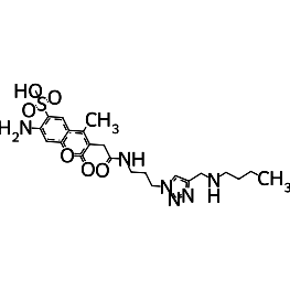 CCCCNCc1cn(CCCNC(=O)Cc2c(C)c3cc(S(=O)(=O)O)c(N)cc3oc2=O)nn1